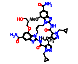 COc1cc(C(N)=O)cc2nc(NC(=O)c3c(C)cnn3CC3CC3)n(CC=CCn3c(NC(=O)c4c(C)cnn4CC4CC4)nc4cc(C(N)=O)cc(OCCCO)c43)c12